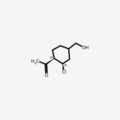 CC(=O)[C@H]1CCC(CO)C[C@H]1Cl